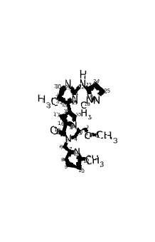 COC[C@H]1CN(Cc2cccc(C)n2)C(=O)c2cc(-c3nc(Nc4ccnn4C)ncc3C)cn21